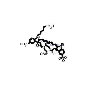 CCN1/C(=C/C=C/C=C/C=C/C2=[N+](CCCCCC(=O)O)c3ccc(S(=O)(=O)O)cc3C2(C)CCOCCOC)C(C)(CCOCCOC)c2cc(S(=O)(=O)[O-])ccc21